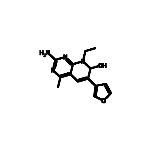 CCN1c2nc(N)nc(C)c2C=C(c2ccoc2)C1O